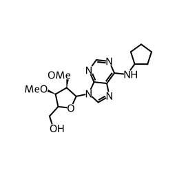 CO[C@@H]1C(CO)OC(n2cnc3c(NC4CCCC4)ncnc32)[C@@H]1OC